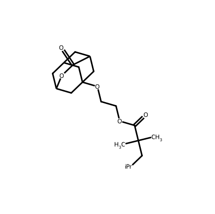 CC(C)CC(C)(C)C(=O)OCCOC12CC3CC(C1)OC(=O)C(C3)C2